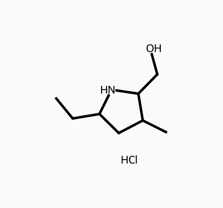 CCC1CC(C)C(CO)N1.Cl